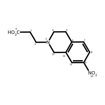 O=C(O)CCN1CCc2ccc([N+](=O)[O-])cc2C1